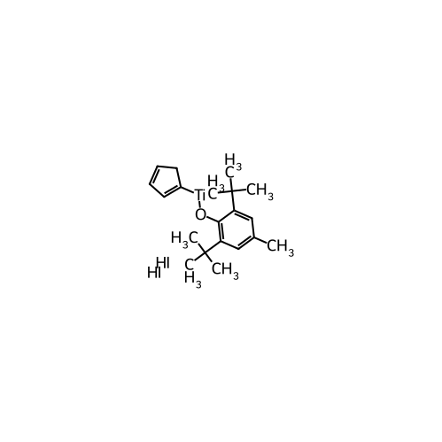 Cc1cc(C(C)(C)C)c([O][Ti][C]2=CC=CC2)c(C(C)(C)C)c1.I.I